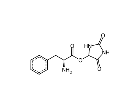 N[C@@H](Cc1ccccc1)C(=O)OC1NC(=O)NC1=O